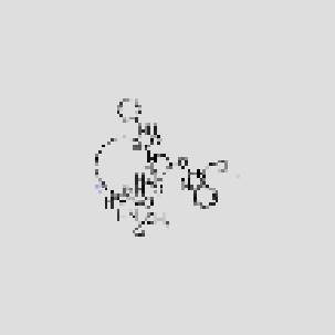 CCn1c(O[C@@H]2C[C@H]3C(=O)N[C@]4(C(=O)NC5(C)CC5)C[C@H]4/C=C\CCCCC[C@H](Nc4ccccc4)C(=O)N3C2)nc2ccccc21